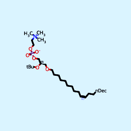 CCCCCCCCCCCC/C=C\CCCCCCCCCOC[C@H](COP(=O)([O-])OCC[N+](C)(C)C)OC(C)(C)C